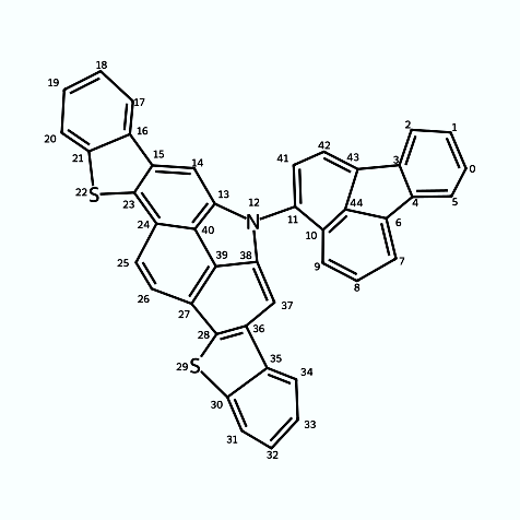 c1ccc2c(c1)-c1cccc3c(-n4c5cc6c7ccccc7sc6c6ccc7c8sc9ccccc9c8cc4c7c65)ccc-2c13